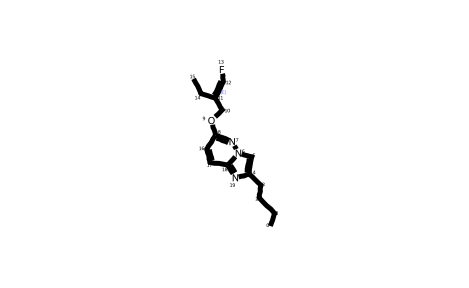 CCCCc1cn2nc(OC/C(=C/F)CC)ccc2n1